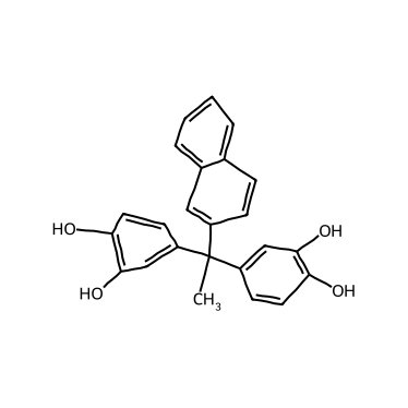 CC(c1ccc(O)c(O)c1)(c1ccc(O)c(O)c1)c1ccc2ccccc2c1